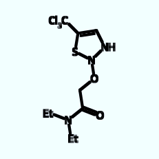 CCN(CC)C(=O)CON1NC=C(C(Cl)(Cl)Cl)S1